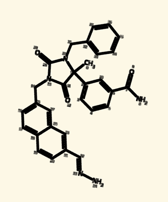 CC1(c2cccc(C(N)=O)c2)C(=O)N(Cc2ccc3ccc(C=NN)cc3c2)C(=O)N1Cc1ccccc1